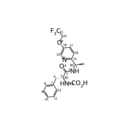 C[C@@H](NC(=O)[C@@H](Cc1ccccc1)NC(=O)O)c1ccc(OCC(F)(F)F)cn1